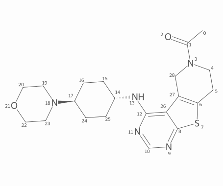 CC(=O)N1CCc2sc3ncnc(N[C@H]4CC[C@H](N5CCOCC5)CC4)c3c2C1